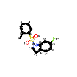 Cc1ccccc1S(=O)(=O)n1ccc2ccc(F)cc21